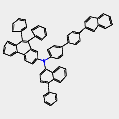 c1ccc(-c2ccc(N(c3ccc(-c4ccc(-c5ccc6ccccc6c5)cc4)cc3)c3ccc4c(c3)c(-c3ccccc3)c(-c3ccccc3)c3ccccc34)c3ccccc23)cc1